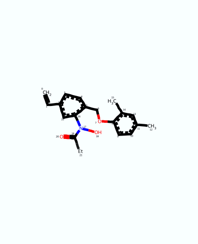 C=Cc1ccc(COc2ccc(C)cc2C)c(N(O)C(=O)CC)c1